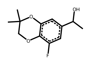 CC(O)c1cc(F)c2c(c1)OC(C)(C)CO2